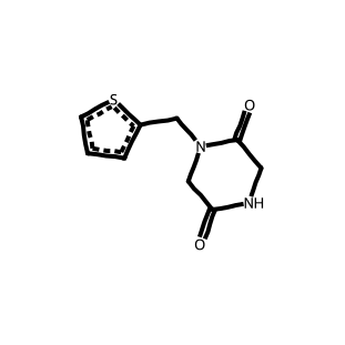 O=C1CN(Cc2cccs2)C(=O)CN1